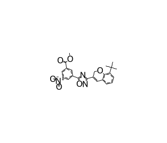 COC(=O)c1cc(-c2nc(C3=Cc4cccc(C(C)(C)C)c4OC3)no2)cc([N+](=O)[O-])c1